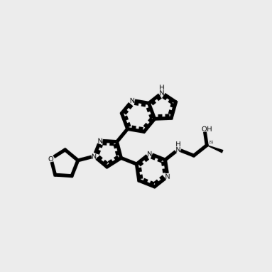 C[C@H](O)CNc1nccc(-c2cn(C3CCOC3)nc2-c2cnc3[nH]ccc3c2)n1